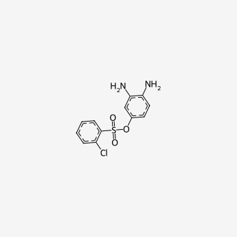 Nc1ccc(OS(=O)(=O)c2ccccc2Cl)cc1N